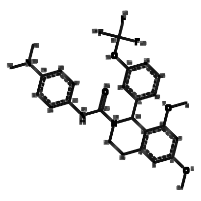 COc1cc2c(c(OC)c1)C(c1cccc(OC(F)(F)F)c1)N(C(=O)Nc1ccc(N(C)C)cc1)CC2